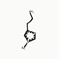 CC(=O)n1cnc(CCN)c1